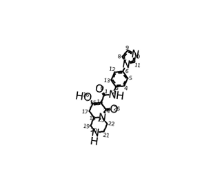 O=C(Nc1ccc(-n2ccnc2)cc1)C1=C(O)CC2CNCCN2C1=O